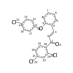 O=C(/C=C/c1ccccc1Oc1ccc(Cl)cc1)c1ccc(Cl)cc1Cl